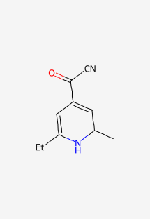 CCC1=CC(C(=O)C#N)=CC(C)N1